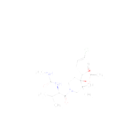 CNC(=O)N[C@@H](C(=O)N1CC[C@](OC(C)=O)(c2ccc(Cl)cc2)C(C)(C)C1)C(C)C